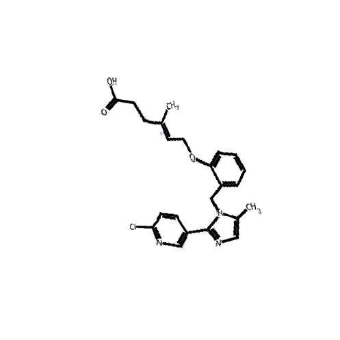 C/C(=C\COc1ccccc1Cn1c(C)cnc1-c1ccc(Cl)nc1)CCC(=O)O